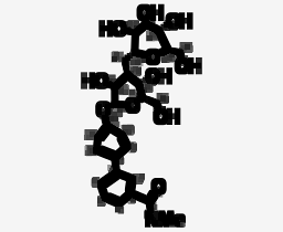 CNC(=O)c1cccc(-c2ccc(O[C@H]3O[C@H](CO)[C@@H](O)[C@H](C[C@H]4O[C@H](CO)[C@@H](O)[C@H](O)[C@@H]4O)[C@@H]3O)cc2)c1